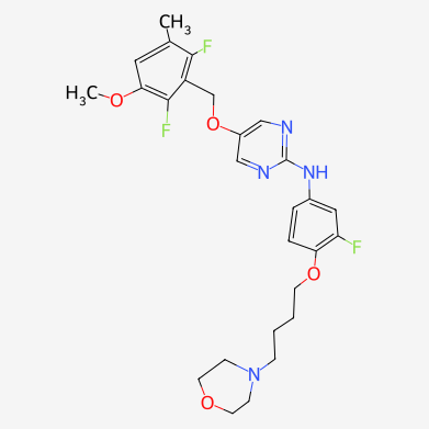 COc1cc(C)c(F)c(COc2cnc(Nc3ccc(OCCCCN4CCOCC4)c(F)c3)nc2)c1F